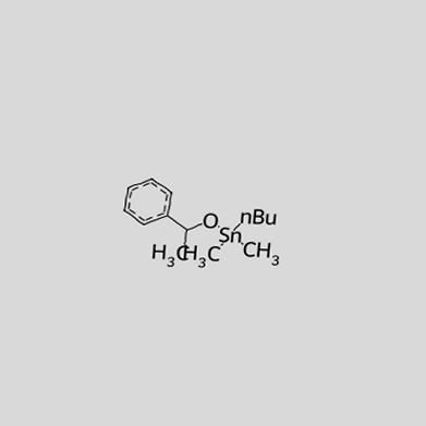 CCC[CH2][Sn]([CH3])([CH3])[O]C(C)c1ccccc1